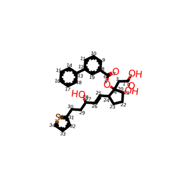 O=C(O)CC1(OC(=O)c2cccc(-c3ccccc3)c2)C(O)CCC1C=CC(O)CCc1cccs1